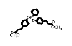 COC(=O)CCc1ccc(OP(Oc2ccc(CCC(=O)OC)cc2)c2ccccc2)cc1